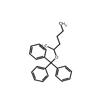 [CH2]C(CCCC)OC(c1ccccc1)(c1ccccc1)c1ccccc1